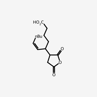 CCCC/C=C\C(CCCC(=O)O)C1CC(=O)OC1=O